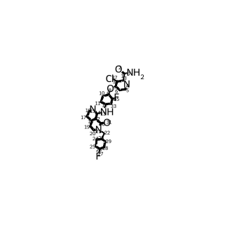 NC(=O)c1nccc(Oc2ccc(Nc3nccc4ccn(Cc5ccc(F)cc5)c(=O)c34)cc2F)c1Cl